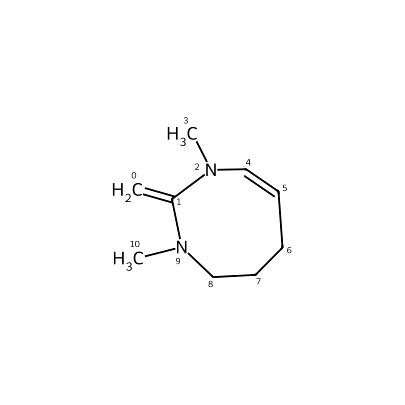 C=C1N(C)/C=C\CCCN1C